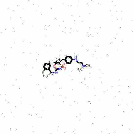 C[C@H](NC1=NS(=O)(=O)[C@H](Cc2ccc(NCCN(C)C)cc2)C(C)(C)O1)c1ccccc1F